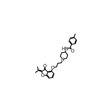 CC(C)=C1Oc2cccc(OCCCN3CCC(NC(=O)c4ccc(C)cc4)CC3)c2C1=O